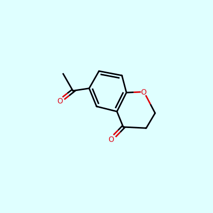 CC(=O)c1ccc2c(c1)C(=O)CCO2